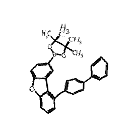 CC1(C)OB(c2ccc3oc4cccc(-c5ccc(-c6ccccc6)cc5)c4c3c2)OC1(C)C